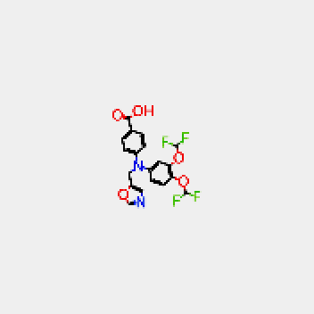 O=C(O)c1ccc(N(Cc2cnco2)c2ccc(OC(F)F)c(OC(F)F)c2)cc1